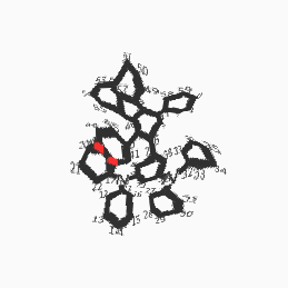 c1ccc(-c2cc(-c3cc(N(c4ccccc4)c4ccccc4)cc(N(c4ccccc4)c4ccccc4)c3)c(-c3ccccc3)c3c2-c2cccc4cccc-3c24)cc1